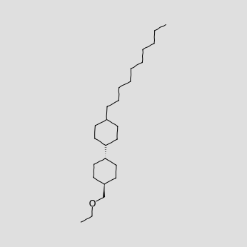 CCCCCCCCCCC1CCC([C@H]2CC[C@H](COCC)CC2)CC1